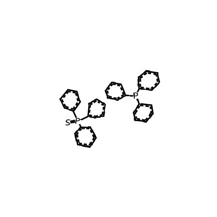 S=P(c1ccccc1)(c1ccccc1)c1ccccc1.c1ccc(P(c2ccccc2)c2ccccc2)cc1